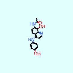 CC(=O)Nc1ccc2c(Nc3ccc(O)cc3)ccnc2c1O